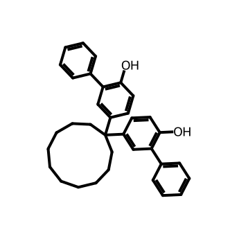 Oc1ccc(C2(c3ccc(O)c(-c4ccccc4)c3)CCCCCCCCCC2)cc1-c1ccccc1